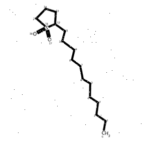 CCCCCCCCCCCCC1CCCS1(=O)=O